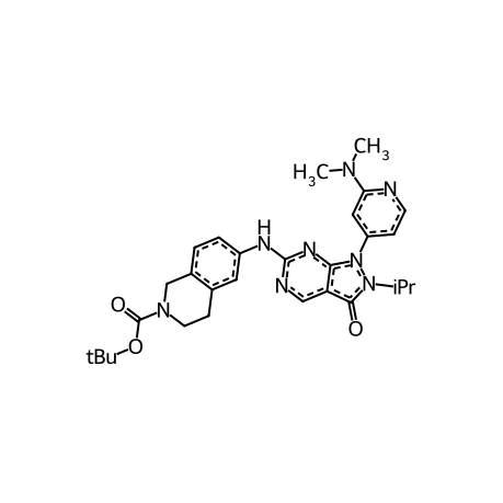 CC(C)n1c(=O)c2cnc(Nc3ccc4c(c3)CCN(C(=O)OC(C)(C)C)C4)nc2n1-c1ccnc(N(C)C)c1